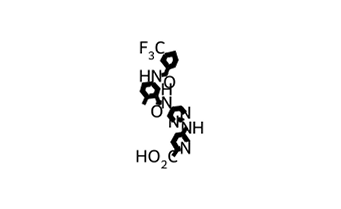 Cc1ccc(NC(=O)c2cccc(C(F)(F)F)c2)cc1C(=O)Nc1cnc(Nc2ccc(C(=O)O)nc2)nc1